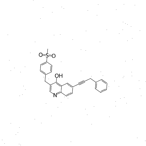 CS(=O)(=O)c1ccc(Cc2cnc3ccc(C#CCc4ccccc4)cc3c2O)cc1